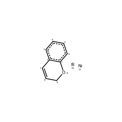 C1=Cc2ccccc2OC1.[B].[Ni]